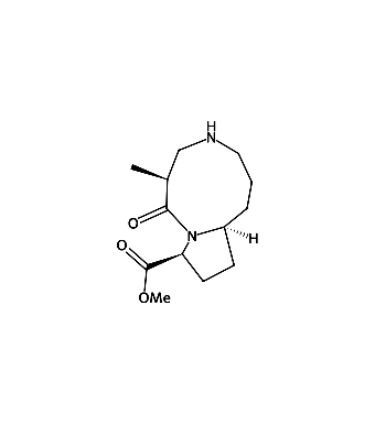 COC(=O)[C@@H]1CC[C@@H]2CCCNC[C@H](C)C(=O)N21